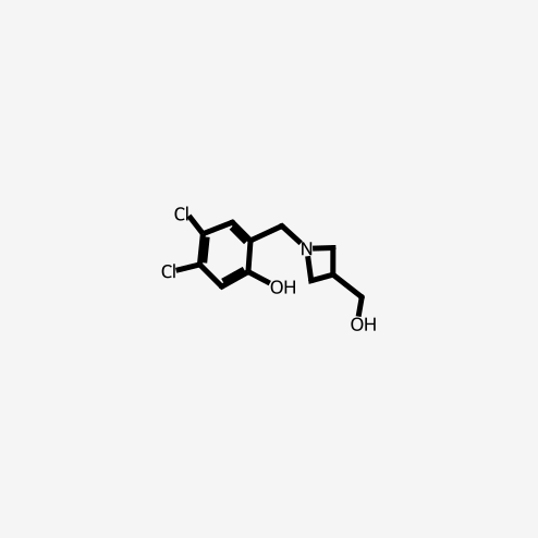 OCC1CN(Cc2cc(Cl)c(Cl)cc2O)C1